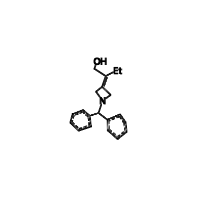 CCC(CO)=C1CN(C(c2ccccc2)c2ccccc2)C1